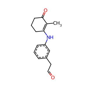 CC1=C(Nc2cccc(CC=O)c2)CCCC1=O